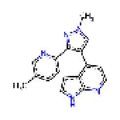 Cc1ccc(-c2nn(C)cc2-c2ccnc3[nH]ccc23)nc1